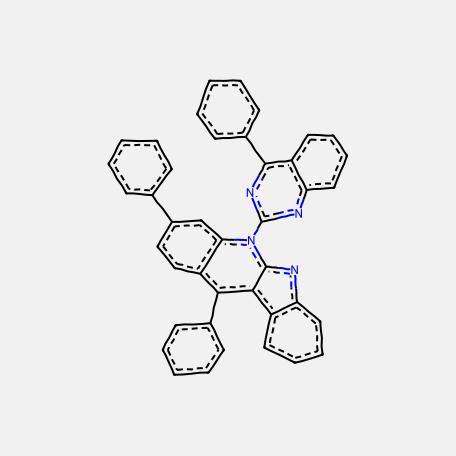 c1ccc(-c2ccc3c(-c4ccccc4)c4c5ccccc5nc-4n(-c4nc(-c5ccccc5)c5ccccc5n4)c3c2)cc1